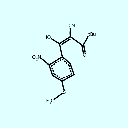 CC(C)(C)C(=O)C(C#N)=C(O)c1ccc(SC(F)(F)F)cc1[N+](=O)[O-]